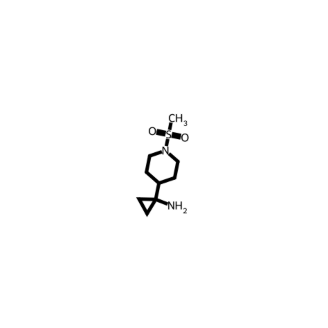 CS(=O)(=O)N1CCC(C2(N)CC2)CC1